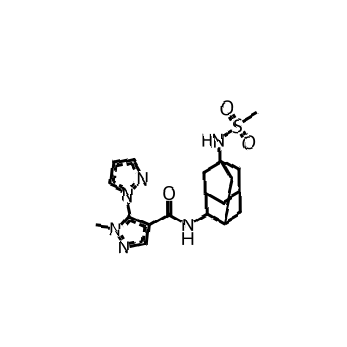 Cn1ncc(C(=O)NC2C3CC4CC2CC(NS(C)(=O)=O)(C4)C3)c1-n1cccn1